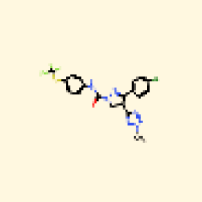 Cn1nnc(C2CN(C(=O)Nc3ccc(SC(F)(F)F)cc3)N=C2c2ccc(Cl)cc2)n1